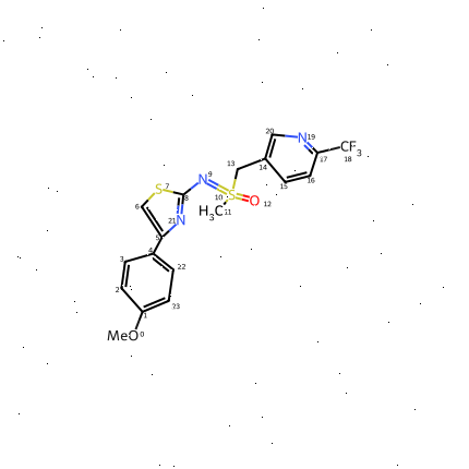 COc1ccc(-c2csc(N=S(C)(=O)Cc3ccc(C(F)(F)F)nc3)n2)cc1